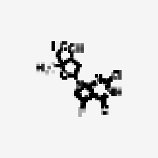 C[C@]1(CO)O[C@@H](n2cc(F)c3c(=O)[nH]c(Cl)nc32)C[C@@H]1O